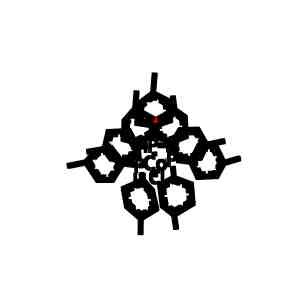 Cc1ccc([PH](c2ccc(C)cc2)(c2ccc(C)cc2)[Co]([Cl])([PH](c2ccc(C)cc2)(c2ccc(C)cc2)c2ccc(C)cc2)[PH](c2ccc(C)cc2)(c2ccc(C)cc2)c2ccc(C)cc2)cc1